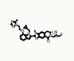 Cc1ncnn1CCOc1cccc2cc(-c3nc4cc5c(cc4n3C)CCN(C[C@H](N)CF)C5=O)n(CC3CC3)c12